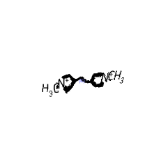 C[n+]1ccc(/C=C/c2cc[n+](C)cc2)cc1